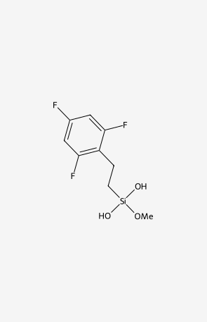 CO[Si](O)(O)CCc1c(F)cc(F)cc1F